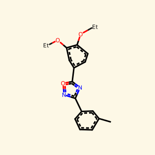 CCOc1ccc(-c2nc(-c3cccc(C)c3)no2)cc1OCC